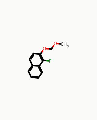 COCOc1ccc2ccccc2c1F